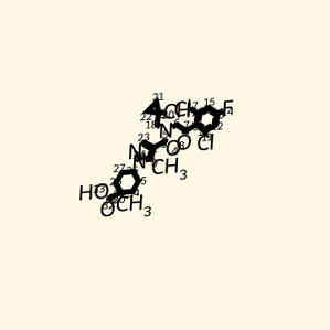 Cc1c(C(=O)N(CC(=O)c2c(Cl)cc(F)cc2Cl)CC2(C)CC2)cnn1[C@H]1CC[C@](C)(C(=O)O)CC1